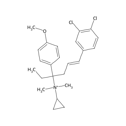 CCC(CC=Cc1ccc(Cl)c(Cl)c1)(c1ccc(OC)cc1)[N+](C)(C)C1CC1